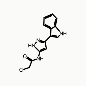 O=C(CCl)Nc1cc(-c2c[nH]c3ccccc23)n[nH]1